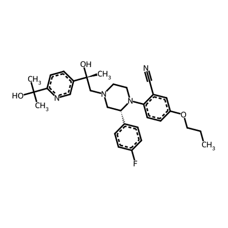 CCCOc1ccc(N2CCN(C[C@@](C)(O)c3ccc(C(C)(C)O)nc3)C[C@H]2c2ccc(F)cc2)c(C#N)c1